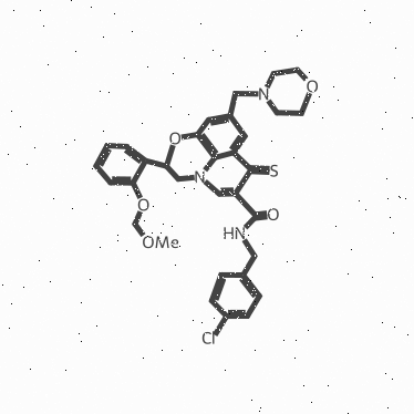 COCOc1ccccc1C1Cn2cc(C(=O)NCc3ccc(Cl)cc3)c(=S)c3cc(CN4CCOCC4)cc(c32)O1